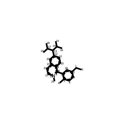 CCc1ccc(C)c(-c2c3ccc(C(C(C)C)C(C)C)cc3cc[n+]2C)c1